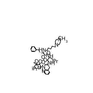 CC(C)CC(NC(=O)[C@H](CCc1ccccc1)NC(=O)CCCCN1CCN(C)CC1)C(=O)N[C@@H](Cc1ccccc1)C(=O)NC(CC(C)C)C(=O)[C@@]1(C)CO1